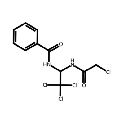 O=C(CCl)NC(NC(=O)c1ccccc1)C(Cl)(Cl)Cl